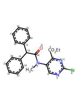 CCOC(=O)c1nc(Br)ncc1N(C)C(=O)C(c1ccccc1)c1ccccc1